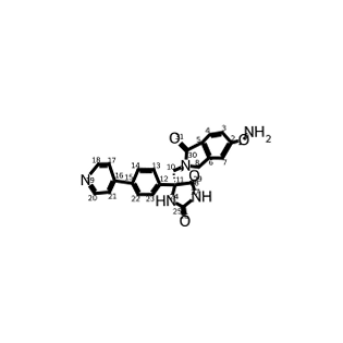 NOc1ccc2c(c1)CN(C[C@@]1(c3ccc(-c4ccncc4)cc3)NC(=O)NC1=O)C2=O